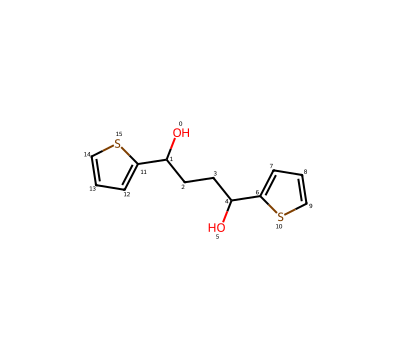 OC(CCC(O)c1cccs1)c1cccs1